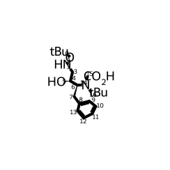 CC(C)(C)ONC[C@@H](O)[C@H](Cc1ccccc1)N(C(=O)O)C(C)(C)C